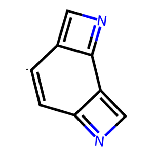 [c]1cc2ncc2c2ncc12